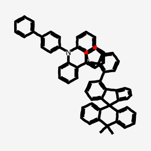 CC1(C)c2ccccc2C2(c3ccccc3-c3c(-c4cccc5c4sc4c(N(c6ccc(-c7ccccc7)cc6)c6ccccc6-c6ccccc6)cccc45)cccc32)c2ccccc21